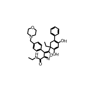 CCNC(=O)c1noc(C2(CC)CC(c3ccccc3)=C(O)C=C2O)c1-c1ccc(CN2CCOCC2)cc1